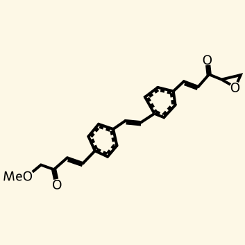 COCC(=O)C=Cc1ccc(C=Cc2ccc(C=CC(=O)C3CO3)cc2)cc1